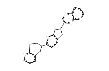 c1cnc2c(c1)CC(c1ccc3c(n1)CC(c1cnc4cccnc4n1)C3)CC2